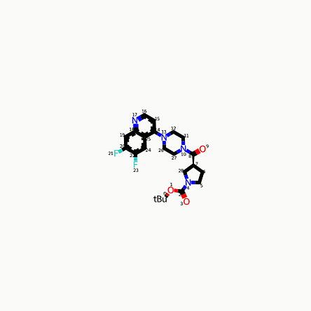 CC(C)(C)OC(=O)N1CC[C@H](C(=O)N2CCN(c3ccnc4cc(F)c(F)cc34)CC2)C1